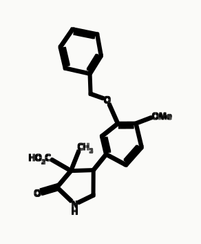 COc1ccc(C2CNC(=O)C2(C)C(=O)O)cc1OCc1ccccc1